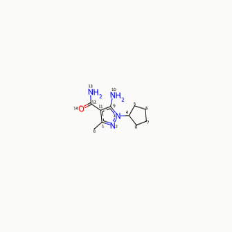 Cc1nn(C2CCCC2)c(N)c1C(N)=O